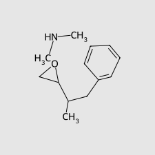 CC(Cc1ccccc1)C1CO1.CNC